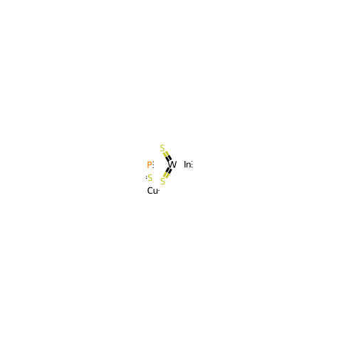 [Cu].[In].[P].[S].[S]=[W]=[S]